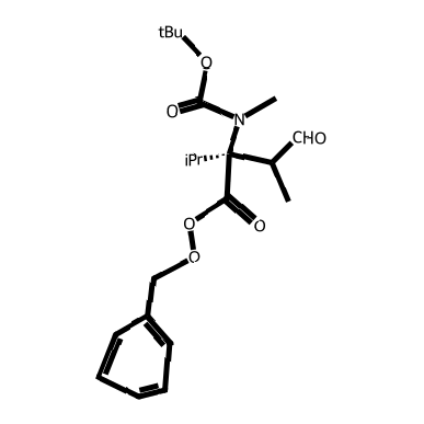 CC(C)[C@@](C(=O)OOCc1ccccc1)(C(C)C=O)N(C)C(=O)OC(C)(C)C